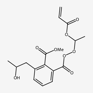 C=CC(=O)OC(C)OOC(=O)c1cccc(CC(C)O)c1C(=O)OC